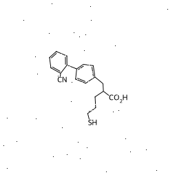 N#Cc1ccccc1-c1ccc(CC(CCCS)C(=O)O)cc1